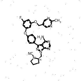 Cc1ncc(COc2cc(F)cc(Oc3ccc(-c4nn(C[C@H]5CCCN5C#N)c5ncnc(N)c45)cc3)c2)cn1